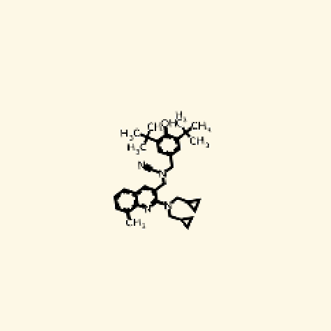 Cc1cccc2cc(CN(C#N)Cc3cc(C(C)(C)C)c(O)c(C(C)(C)C)c3)c(N(CC3CC3)CC3CC3)nc12